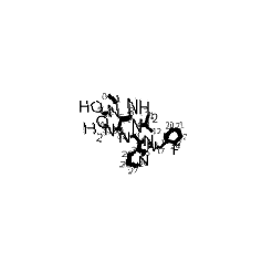 CCN(C(=O)O)C1=C(N)N(C(C)C)C(c2nn(Cc3ccccc3F)c3ncccc23)N=C1N